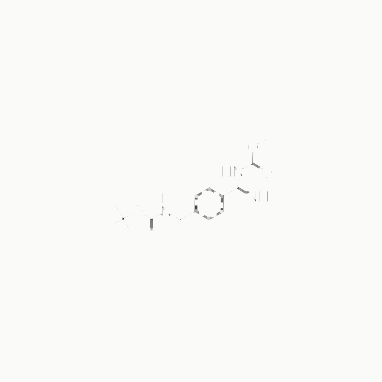 COC(=O)NC(=N)c1ccc(CNC(=O)OC(C)(C)C)cc1